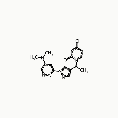 CC(c1cnn(-c2cc(N(C)C)cnn2)c1)n1ccc(Cl)cc1=O